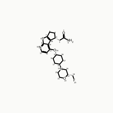 NC(=O)C[C@H]1CCc2sc3nccc(O[C@H]4CC[C@H](N5CCO[C@@H](CF)C5)CC4)c3c21